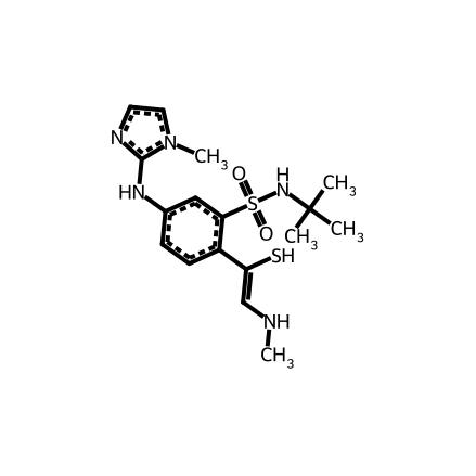 CN/C=C(\S)c1ccc(Nc2nccn2C)cc1S(=O)(=O)NC(C)(C)C